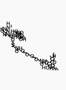 CC/N=c1/cc2oc3cc(NCC)c(C)cc3c(-c3ccc(C(=O)NCCOCCOCCOCCOCCC(=O)NCC(C)(C)SSCOC4C[C@H](n5cnc6c(=O)[nH]c(N)nc65)O[C@@H]4COP(=O)(O)OP(=O)(O)OP(=O)(O)O)cc3C(=O)O)c-2cc1C